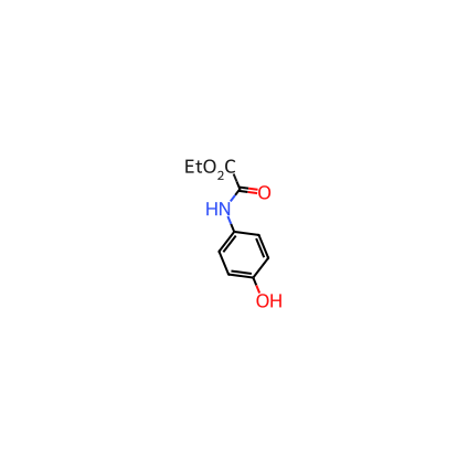 CCOC(=O)C(=O)Nc1ccc(O)cc1